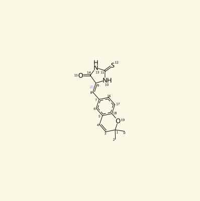 CC1(C)C=Cc2cc(/C=C3\NC(=S)NC3=O)ccc2O1